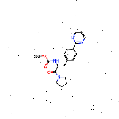 CC(C)(C)OC(=O)N[C@H](Cc1ccc(-c2ncccn2)cc1)C(=O)N1CCCC1